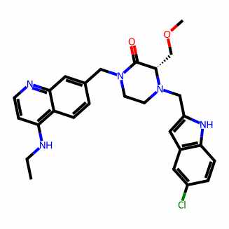 CCNc1ccnc2cc(CN3CCN(Cc4cc5cc(Cl)ccc5[nH]4)[C@@H](COC)C3=O)ccc12